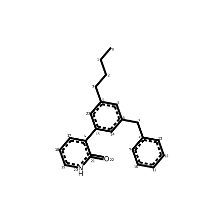 CCCCc1cc(Cc2ccccc2)cc(-c2ccc[nH]c2=O)c1